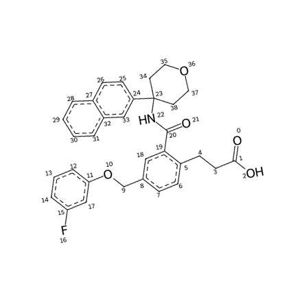 O=C(O)CCc1ccc(COc2cccc(F)c2)cc1C(=O)NC1(c2ccc3ccccc3c2)CCOCC1